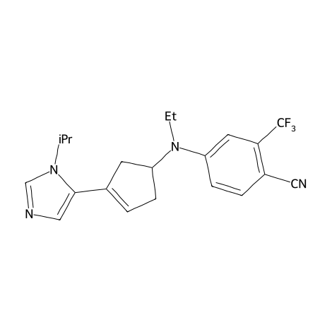 CCN(c1ccc(C#N)c(C(F)(F)F)c1)C1CC=C(c2cncn2C(C)C)C1